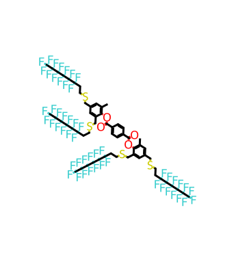 Cc1cc(CSCCC(F)(F)C(F)(F)C(F)(F)C(F)(F)C(F)(F)C(F)(F)F)cc(CSCCC(F)(F)C(F)(F)C(F)(F)C(F)(F)C(F)(F)C(F)(F)F)c1OC(=O)c1ccc(C(=O)Oc2c(C)cc(CSCCC(F)(F)C(F)(F)C(F)(F)C(F)(F)C(F)(F)C(F)(F)F)cc2CSCCC(F)(F)C(F)(F)C(F)(F)C(F)(F)C(F)(F)C(F)(F)F)cc1